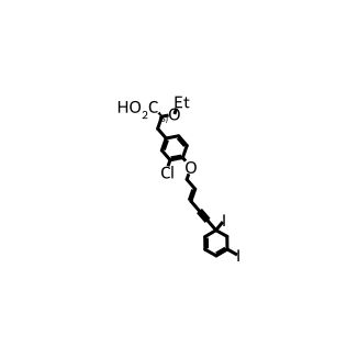 CCO[C@@H](Cc1ccc(OCC=CC#CC2(I)C=CC=C(I)C2)c(Cl)c1)C(=O)O